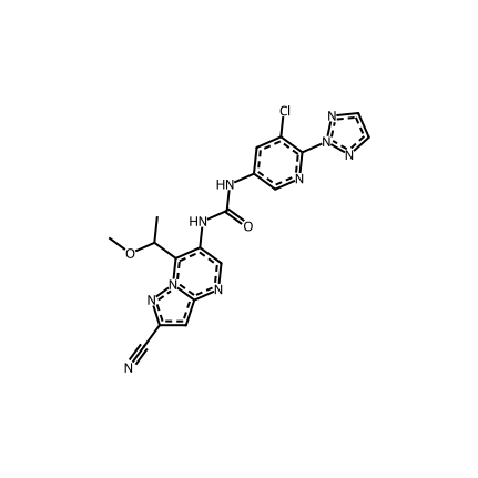 COC(C)c1c(NC(=O)Nc2cnc(-n3nccn3)c(Cl)c2)cnc2cc(C#N)nn12